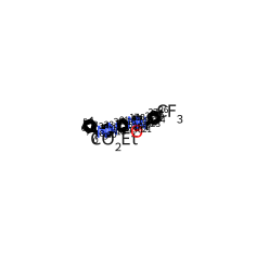 CCOC(=O)[C@H](c1ccccc1)N1CCN(c2ccc(-n3ccn([C@H](C)c4ccc(C(F)(F)F)cc4)c3=O)cc2)CC1